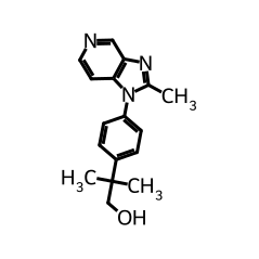 Cc1nc2cnccc2n1-c1ccc(C(C)(C)CO)cc1